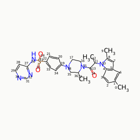 Cc1ccc2c(c1)cc(C)n2C(C)C(=O)N1CCN(c2ccc(S(=O)(=O)Nc3ccncn3)cc2)CC1C